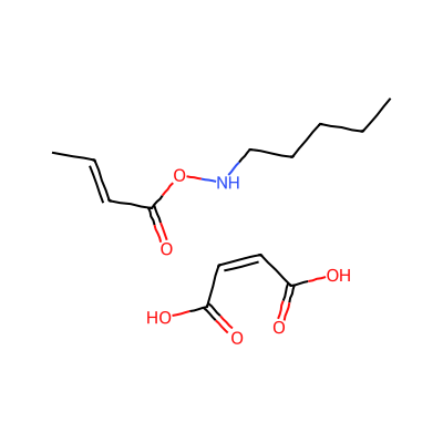 CC=CC(=O)ONCCCCC.O=C(O)/C=C\C(=O)O